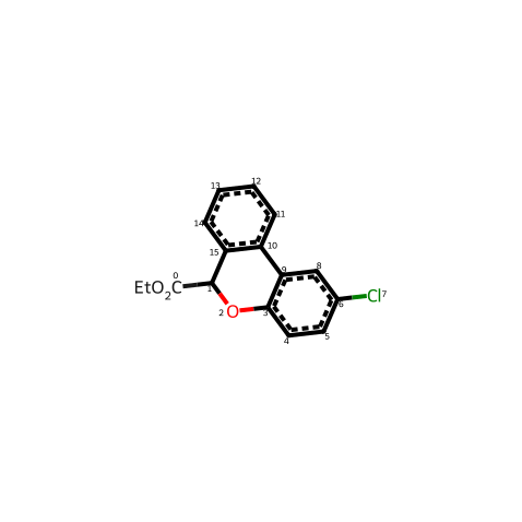 CCOC(=O)C1Oc2ccc(Cl)cc2-c2ccccc21